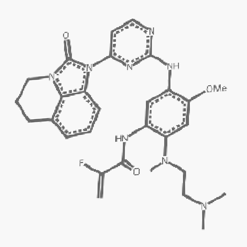 C=C(F)C(=O)Nc1cc(Nc2nccc(-n3c(=O)n4c5c(cccc53)CCC4)n2)c(OC)cc1N(C)CCN(C)C